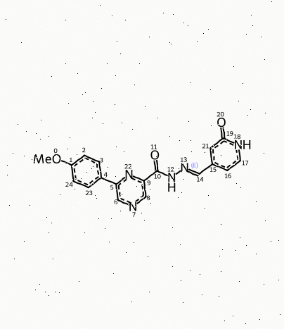 COc1ccc(-c2cncc(C(=O)N/N=C/c3cc[nH]c(=O)c3)n2)cc1